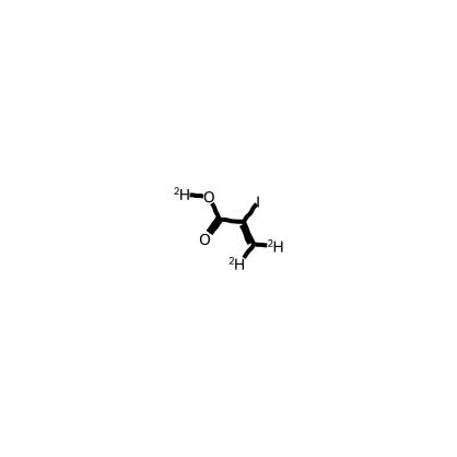 [2H]OC(=O)C(I)=C([2H])[2H]